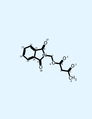 CC(=O)CC(=O)OCN1C(=O)c2ccccc2C1=O